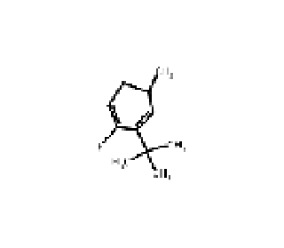 CC1C=C(C(C)(C)C)C(F)=CC1